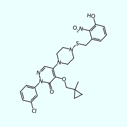 CC1(COc2c(N3CCN(SCc4cccc(O)c4[N+](=O)[O-])CC3)cnn(-c3cccc(Cl)c3)c2=O)CC1